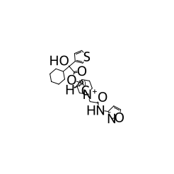 O=C(C[N+]12CCC(CC1)[C@@H](OC(=O)C(O)(c1ccsc1)C1CCCCC1)C2)Nc1ccon1